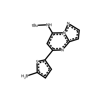 Bc1ccc(-c2cc(NC(C)(C)C)n3nccc3n2)s1